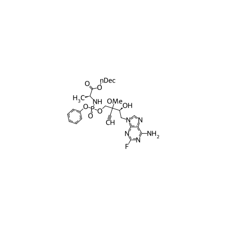 C#CC(COP(=O)(N[C@@H](C)C(=O)OCCCCCCCCCC)Oc1ccccc1)(OC)[C@@H](O)Cn1cnc2c(N)nc(F)nc21